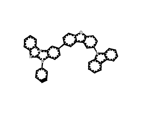 c1ccc(-n2c3ccc(-c4ccc5oc6ccc(-n7c8ccccc8c8ccccc87)cc6c5c4)cc3n3c4ccccc4nc23)cc#1